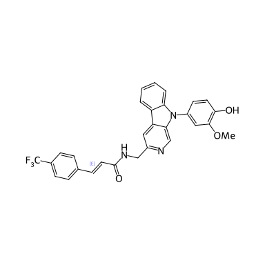 COc1cc(-n2c3ccccc3c3cc(CNC(=O)/C=C/c4ccc(C(F)(F)F)cc4)ncc32)ccc1O